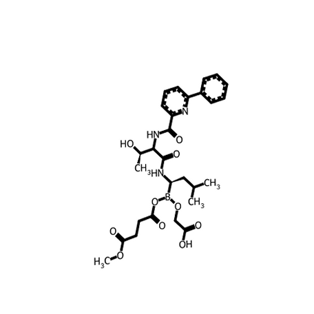 COC(=O)CCC(=O)OB(OCC(=O)O)[C@H](CC(C)C)NC(=O)C(NC(=O)c1cccc(-c2ccccc2)n1)[C@@H](C)O